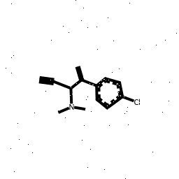 C#CC(C(=C)c1ccc(Cl)cc1)N(C)C